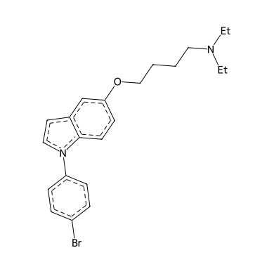 CCN(CC)CCCCOc1ccc2c(ccn2-c2ccc(Br)cc2)c1